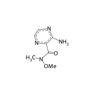 CON(C)C(=O)c1nccnc1N